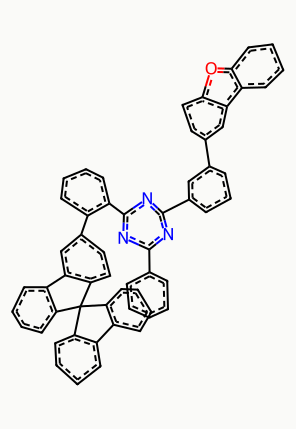 c1ccc(-c2nc(-c3cccc(-c4ccc5oc6ccccc6c5c4)c3)nc(-c3ccccc3-c3ccc4c(c3)-c3ccccc3C43c4ccccc4-c4ccccc43)n2)cc1